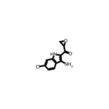 Nc1c(C(=O)C2CO2)[nH]c2cc(Cl)ccc12